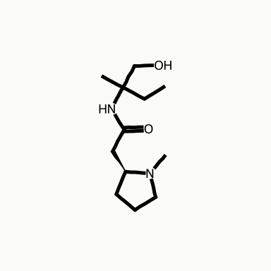 CCC(C)(CO)NC(=O)C[C@@H]1CCCN1C